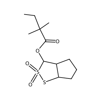 CCC(C)(C)C(=O)OC1C2CCCC2SS1(=O)=O